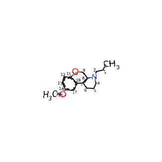 CCCN1CCCC2=C1COc1ccc(OC)cc12